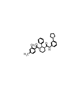 Cc1ccc(C(=O)N2CCC[C@H](C(=O)Nc3cccc(N4CCCC4)c3)[C@@H]2c2ccccc2)c(C)c1